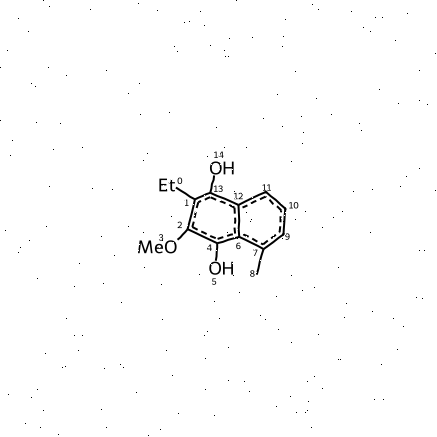 CCc1c(OC)c(O)c2c(C)cccc2c1O